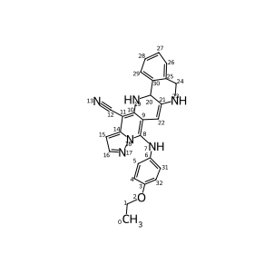 CCOc1ccc(Nc2c3c(c(C#N)c4ccnn24)NC2C(=C3)NCc3ccccc32)cc1